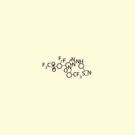 CN1CCSC(c2ccc(Nc3ncc4cc(-c5ccc(S(=O)(=O)CC(F)(F)F)cc5C(F)F)c(=O)n(Cc5ccccc5C(F)(F)F)c4n3)cc2)C1